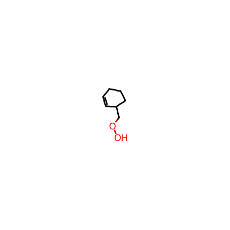 OOCC1C=CCCC1